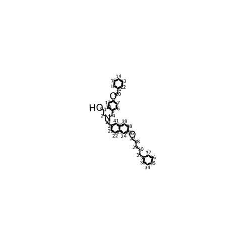 OCCN(Cc1ccc(OCc2ccccc2)cc1)Cc1ccc2cc(OCCCCCc3ccccc3)ccc2c1